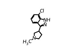 CN1CCC(c2n[nH]c3c(Cl)cccc23)C1